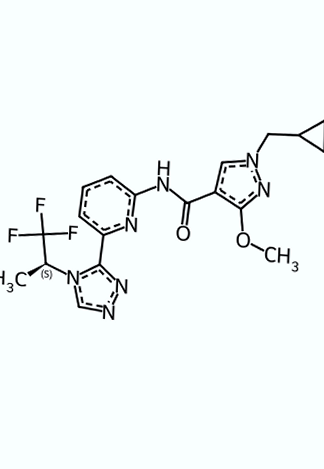 COc1nn(CC2CC2)cc1C(=O)Nc1cccc(-c2nncn2[C@@H](C)C(F)(F)F)n1